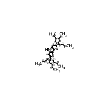 CCC[CH2][Sn]([CH2]CCC)([CH2]CCC)[c]1cc2[nH]c3c[c]([Sn]([CH2]CCC)([CH2]CCC)[CH2]CCC)sc3c2s1